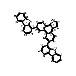 c1ccc2c(c1)sc1c(-c3ccc4c(c3)c3cc(-c5cccc6c5sc5ccccc56)ccc3c3sccc43)cccc12